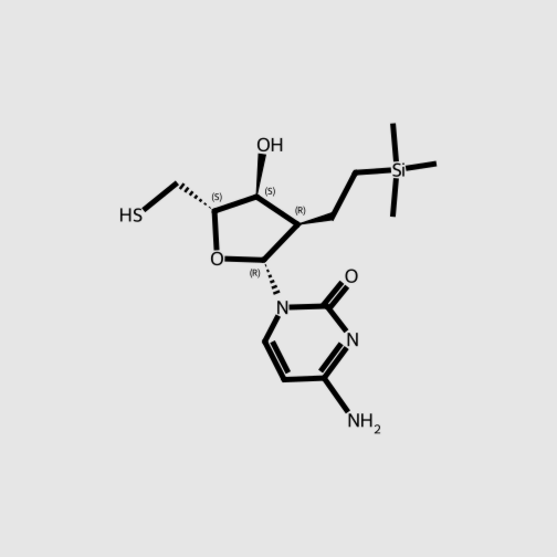 C[Si](C)(C)CC[C@@H]1[C@H](O)[C@@H](CS)O[C@H]1n1ccc(N)nc1=O